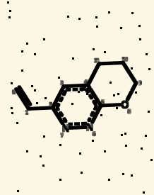 C=Cc1cc2c(nn1)OCCC2